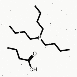 CCCC(=O)O.CCCCP(CCCC)CCCC